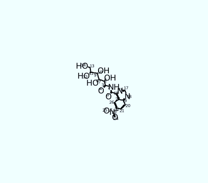 O=C(NC(=O)C(O)C(O)C(O)C(O)CO)c1ncnc2ccc([N+](=O)[O-])cc12